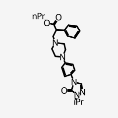 CCCOC(=O)C(CN1CCN(c2ccc(-n3cnn(C(C)C)c3=O)cc2)CC1)c1ccccc1